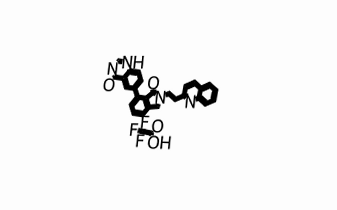 O=C(O)C(F)(F)F.O=C1c2c(cccc2-c2ccc3[nH]cnc(=O)c3c2)CN1CCc1ccc2ccccc2n1